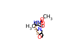 CCOC(=O)NC1C(=O)N(Cc2ccoc2)C(=S)SC1(C)C